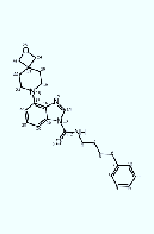 O=C(NCCCCc1ccccc1)n1cnc2c(N3CCC4(CC3)COC4)cccc21